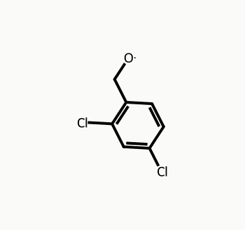 [O]Cc1ccc(Cl)cc1Cl